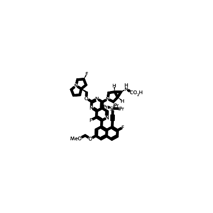 COCOc1cc(-c2ncc3c(N4C[C@@H]5[C@H](C4)[C@H]5NC(=O)O)nc(OC[C@@]45CCCN4C[C@H](F)C5)nc3c2F)c2c(C#C[Si](C(C)C)(C(C)C)C(C)C)c(F)ccc2c1